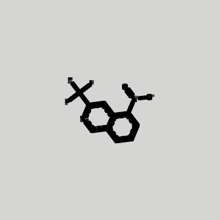 O=[N+]([O-])c1cccc2cnc(C(F)(F)F)cc12